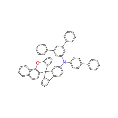 c1ccc(-c2ccc(N(c3cc(-c4ccccc4)cc(-c4ccccc4)c3)c3ccc4c(c3)C3(c5ccccc5Oc5c3ccc3ccccc53)c3ccccc3-4)cc2)cc1